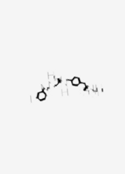 O=C(Cc1ccc(CNC(=O)CNc2nc3cc(F)ccc3s2)cc1)NO